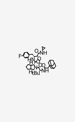 CC(C)(C)[C@H](NC(=O)CC12CC3CC(CC(C3)C1)C2)C(=O)N1C[C@@H]2CCC[C@@H]2[C@H]1C(=O)N[C@@H](Cc1ccc(F)cc1)C(=O)C(=O)NC1CC1